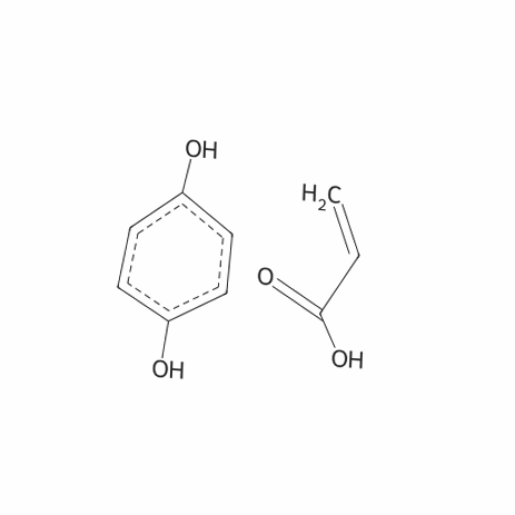 C=CC(=O)O.Oc1ccc(O)cc1